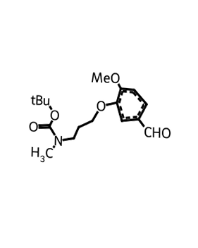 COc1ccc(C=O)cc1OCCCN(C)C(=O)OC(C)(C)C